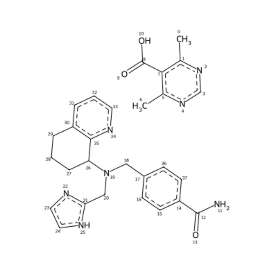 Cc1ncnc(C)c1C(=O)O.NC(=O)c1ccc(CN(Cc2ncc[nH]2)C2CCCc3cccnc32)cc1